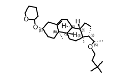 C[C@H](OCCC(C)(C)C)[C@H]1CC[C@H]2[C@@H]3CC=C4C[C@@H](OC5CCCCO5)CC[C@]4(C)[C@H]3CC[C@]12C